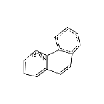 C1=CC2[Te]C=NC23C(=C1)C=Cc1ccccc13